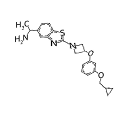 CC(N)c1ccc2sc(N3CC(Oc4cccc(OCC5CC5)c4)C3)nc2c1